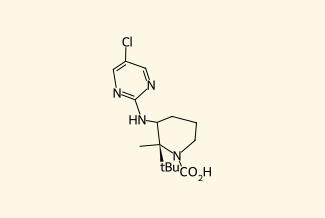 CC(C)(C)[C@@]1(C)C(Nc2ncc(Cl)cn2)CCCN1C(=O)O